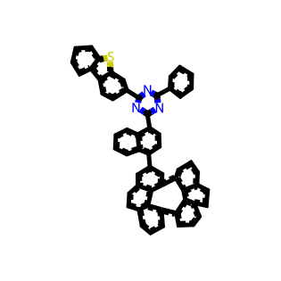 c1ccc(-c2nc(-c3ccc4c(c3)sc3ccccc34)nc(-c3ccc(-c4cc5ccc6cccc7c8cccc9ccc%10cccc(c(c4)c5c67)c%10c98)c4ccccc34)n2)cc1